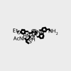 CCOc1ccc(C[C@@H](NC(=O)c2sccc2NC(C)=O)C(=O)N[C@@H](Cc2ccccc2)C(=O)NCc2ccc(CN)cc2)cc1